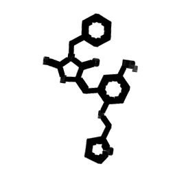 O=C1/C(=C\c2cc([N+](=O)[O-])ccc2SCc2ccco2)SC(=S)N1Cc1ccccc1